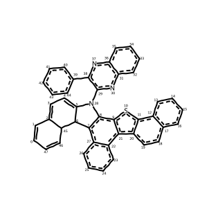 C1=CC2=CC=C3C(c4c(c5sc6c7ccccc7ccc6c5c5ccccc45)N3c3nc4ccccc4nc3-c3ccccc3)C2C=C1